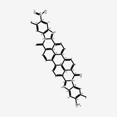 C=c1c2ccc3c4ccc5c6c(ccc(c7ccc(c2c73)c2nc3cc([N+](=O)[O-])c(C)cc3n12)c46)c(=O)n1c2cc(C)c(N)cc2nc51